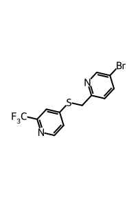 FC(F)(F)c1cc(SCc2ccc(Br)cn2)ccn1